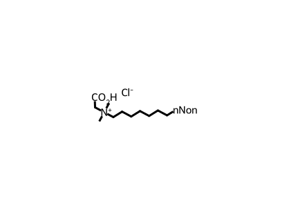 CCCCCCCCCCCCCCCC[N+](C)(C)CC(=O)O.[Cl-]